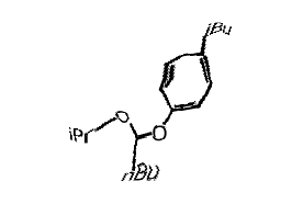 CCCCC(Oc1ccc(C(C)CC)cc1)OC(C)C